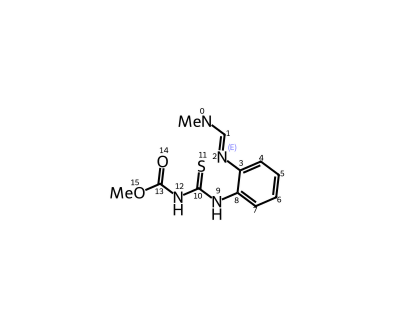 CN/C=N/c1ccccc1NC(=S)NC(=O)OC